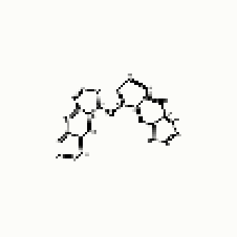 c1ccc2nc3cccc(Sc4cccc5nc6ccccc6cc45)c3cc2c1